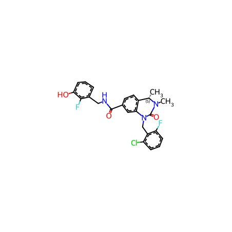 C[C@H]1c2ccc(C(=O)NCc3cccc(O)c3F)cc2N(Cc2c(F)cccc2Cl)C(=O)N1C